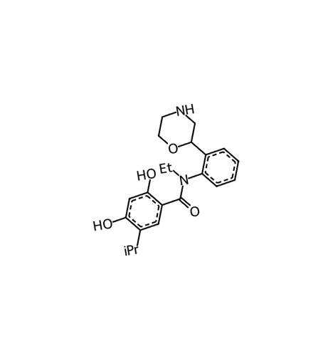 CCN(C(=O)c1cc(C(C)C)c(O)cc1O)c1ccccc1C1CNCCO1